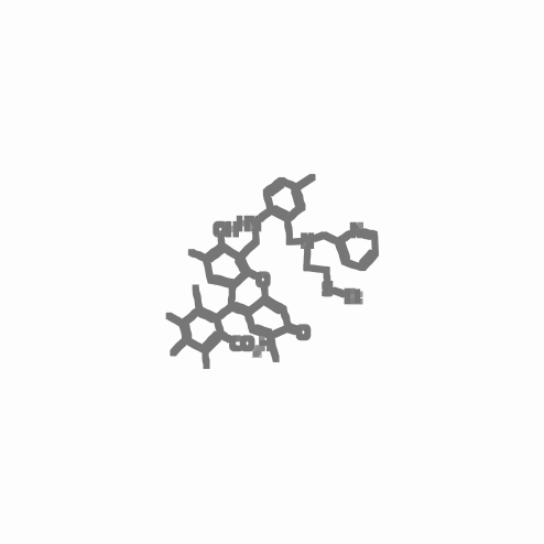 CCSCCN(Cc1ccccn1)Cc1cc(C)ccc1NCc1c(O)c(C)cc2c(-c3c(C)c(C)c(C)c(C)c3C(=O)O)c3cc(C)c(=O)cc-3oc12